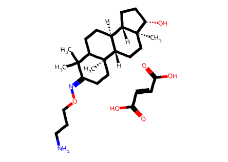 CC1(C)/C(=N/OCCCN)CC[C@@]2(C)C1CC[C@H]1[C@@H]3CC[C@H](O)[C@@]3(C)CC[C@@H]12.O=C(O)/C=C/C(=O)O